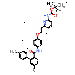 Cc1ccc(-c2cc(C)ccc2C(=O)Nc2ccc(OCCc3cccc(NC(=O)OC(C)(C)C)n3)cc2)cc1